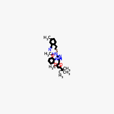 COc1cccc(OC)c1-n1c(NSCCc2ccc(C)cc2C#N)nnc1-c1ccc(C(C)(C)C)o1